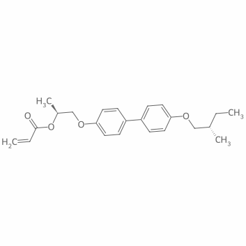 C=CC(=O)O[C@@H](C)COc1ccc(-c2ccc(OC[C@@H](C)CC)cc2)cc1